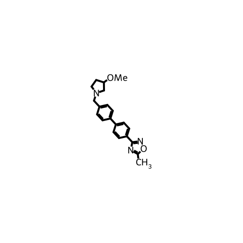 COC1CCN(Cc2ccc(-c3ccc(-c4noc(C)n4)cc3)cc2)C1